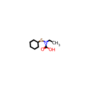 CCN(SC1CCCCC1)C(=O)O